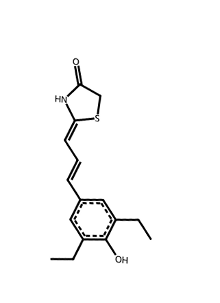 CCc1cc(C=CC=C2NC(=O)CS2)cc(CC)c1O